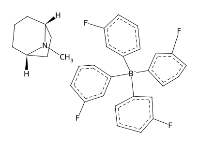 CN1[C@@H]2CCC[C@H]1CC2.Fc1cccc([B-](c2cccc(F)c2)(c2cccc(F)c2)c2cccc(F)c2)c1